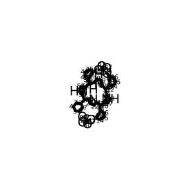 C[C@]12C3=CCCC(=C3)OS(=O)(=O)Oc3cccc(c3)[C@](C)(c3ccc1[nH]3)c1ccc([nH]1)[C@@]1(C)c3cccc(c3)OS(=O)(=O)Oc3cccc(c3)[C@@](C)(c3ccc2[nH]3)c2ccc1[nH]2